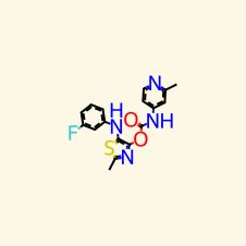 Cc1cc(NC(=O)Oc2nc(C)sc2Nc2cccc(F)c2)ccn1